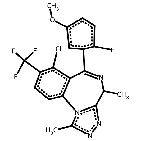 COc1ccc(F)c(C2=NC(C)c3nnc(C)n3-c3ccc(C(F)(F)F)c(Cl)c32)c1